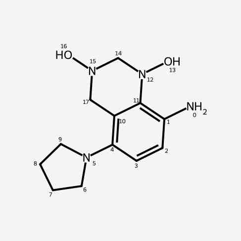 Nc1ccc(N2CCCC2)c2c1N(O)CN(O)C2